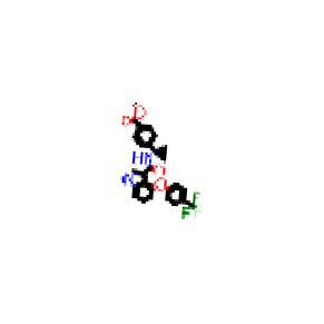 COC(=O)c1ccc(C2(NC(=O)c3cn(C)c4cccc(Oc5ccc(C(F)(F)F)cc5)c34)CC2)cc1